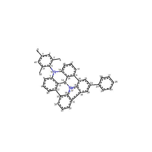 Cc1cc(C)c(N2c3cccc4c3B3c5c(cccc52)-c2cc(-c5ccccc5)cc5c6cccc-4c6n3c25)c(C)c1